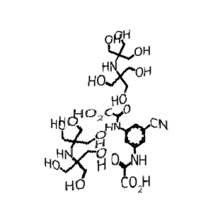 N#Cc1cc(NC(=O)C(=O)O)cc(NC(=O)C(=O)O)c1.OCC(CO)(CO)NC(CO)(CO)CO.OCC(CO)(CO)NC(CO)(CO)CO